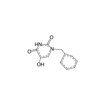 O=c1[nH]c(=O)n(Cc2ccccc2)cc1O